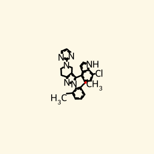 CCc1cccc(CC)c1-n1nc2c(c1-c1ccc(Cl)c3[nH]ccc13)CN(c1ncccn1)CC2